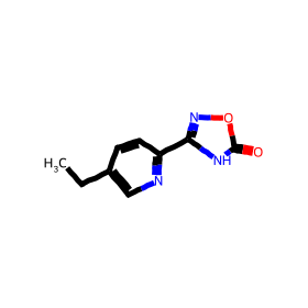 CCc1ccc(-c2noc(=O)[nH]2)nc1